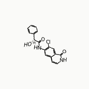 O=C(Nc1cc2cc[nH]c(=O)c2cc1Cl)[C@H](O)c1ccccc1